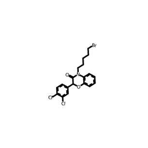 O=C1C(c2ccc(Cl)c(Cl)c2)Oc2ccccc2N1CCCCCBr